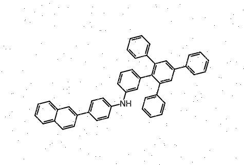 c1ccc(-c2cc(-c3ccccc3)c(-c3cccc(Nc4ccc(-c5ccc6ccccc6c5)cc4)c3)c(-c3ccccc3)c2)cc1